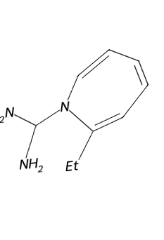 CCC1=CC=CC=CN1C(N)N